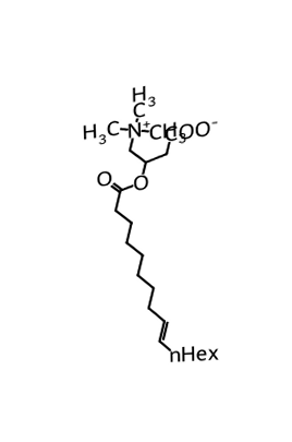 CCCCCCC=CCCCCCCCC(=O)OC(CC(=O)[O-])C[N+](C)(C)C